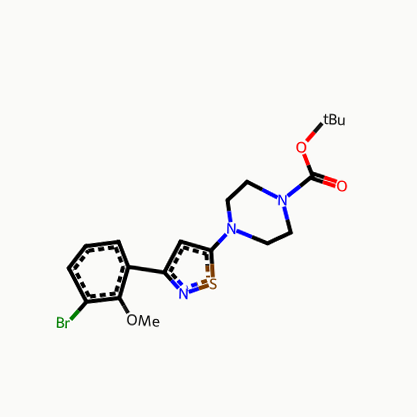 COc1c(Br)cccc1-c1cc(N2CCN(C(=O)OC(C)(C)C)CC2)sn1